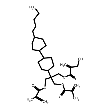 C=C(C)C(=O)OCC(COC(=O)C(=C)C)(COC(=O)C(=C)CO)C1CCC(C2CCC(CCCCC)CC2)CC1